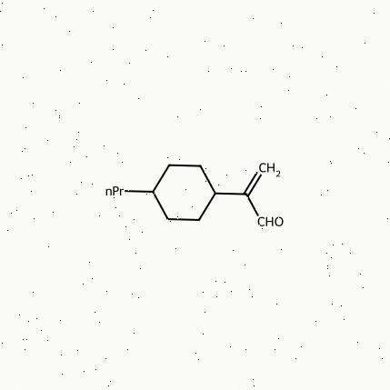 C=C(C=O)C1CCC(CCC)CC1